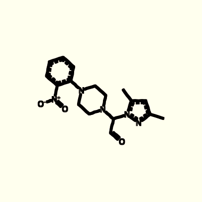 Cc1cc(C)n(C(C=O)N2CCN(c3ccccc3[N+](=O)[O-])CC2)n1